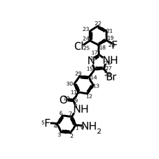 Nc1ccc(F)cc1NC(=O)c1ccc(-c2nc(-c3c(F)cccc3Cl)[nH]c2Br)cc1